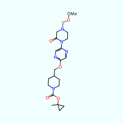 COOSN1CCN(c2cnc(OCC3CCN(C(=O)OC4(C)CC4)CC3)cn2)C(=O)C1